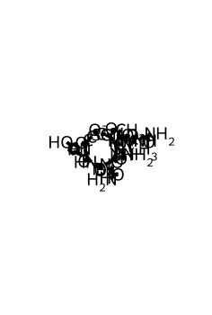 CC[C@H](C)[C@@H]1NC(=O)[C@@H](Cc2ccc(O)cc2)NC(=O)CC[S+]([O-])CC[C@@H](C(=O)N(C)CC(=O)N[C@@H](C)C(=O)NCC(N)=O)NC(=O)[C@H](CC(N)=O)NC(=O)[C@H](CCC(N)=O)NC1=O